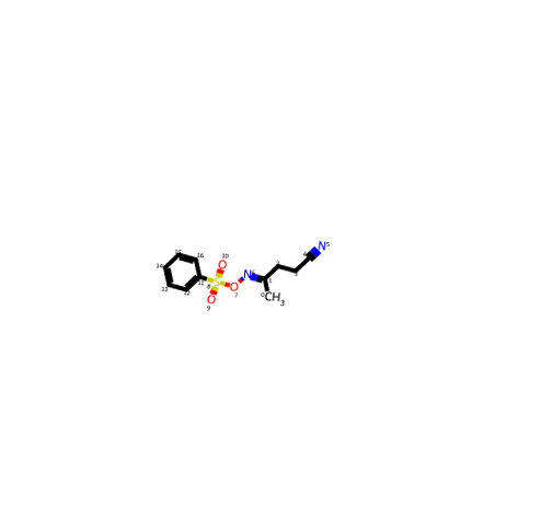 C/C(CCC#N)=N\OS(=O)(=O)c1ccccc1